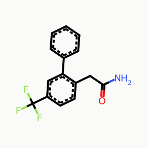 NC(=O)Cc1ccc(C(F)(F)F)cc1-c1ccccc1